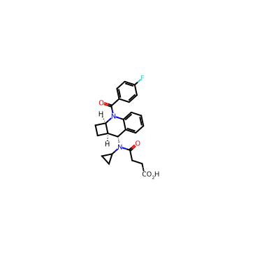 O=C(O)CCC(=O)N(C1CC1)[C@H]1c2ccccc2N(C(=O)c2ccc(F)cc2)[C@@H]2CC[C@@H]21